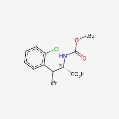 CC(C)C(c1ccccc1Cl)[C@H](NC(=O)OC(C)(C)C)C(=O)O